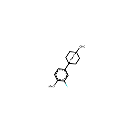 COc1ccc(C23CCC(C=O)(CC2)CC3)cc1F